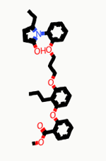 CCCc1c(OCCCOc2ccccc2-n2c(O)ccc2CC)cccc1Oc1ccccc1C(=O)OC